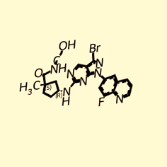 C[C@]1(C(=O)NCCO)CC[C@@H](Nc2ncc3c(Br)nn(-c4cc(F)c5ncccc5c4)c3n2)C1